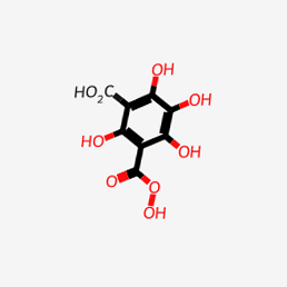 O=C(O)c1c(O)c(O)c(O)c(C(=O)OO)c1O